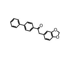 O=C(Cc1ccc2c(c1)OCO2)c1ccc(-c2ccccc2)cc1